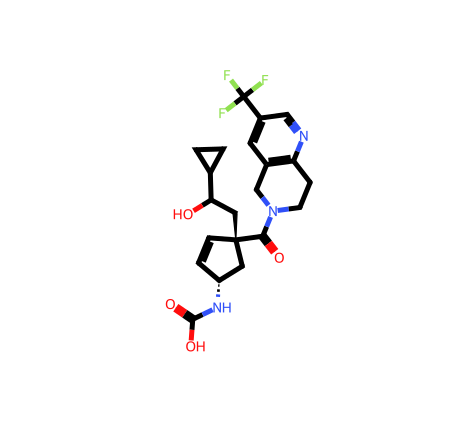 O=C(O)N[C@@H]1C=C[C@](CC(O)C2CC2)(C(=O)N2CCc3ncc(C(F)(F)F)cc3C2)C1